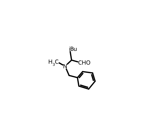 CCC(C)C(C=O)N(C)Cc1ccccc1